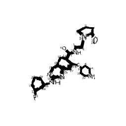 O=C(NCCN1CCCC1=O)c1cc2cnc(Nc3cccc(F)c3)nc2cc1OC1CCNCC1